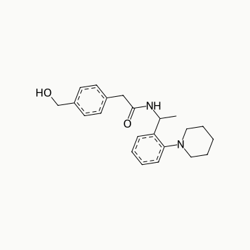 CC(NC(=O)Cc1ccc(CO)cc1)c1ccccc1N1CCCCC1